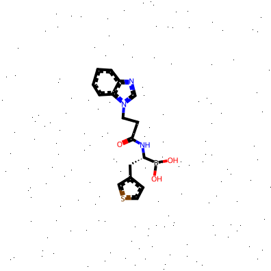 O=C(CCn1cnc2ccccc21)N[C@@H](Cc1ccsc1)B(O)O